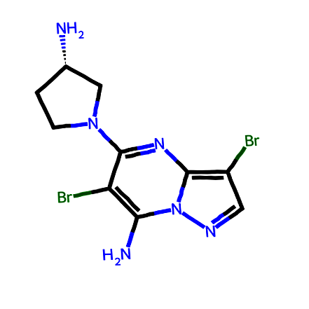 Nc1c(Br)c(N2CC[C@H](N)C2)nc2c(Br)cnn12